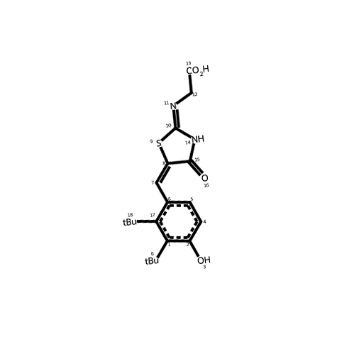 CC(C)(C)c1c(O)ccc(C=C2SC(=NCC(=O)O)NC2=O)c1C(C)(C)C